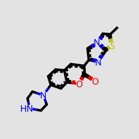 Cc1cn2cc(-c3cc4ccc(N5CCNCC5)cc4oc3=O)nc2s1